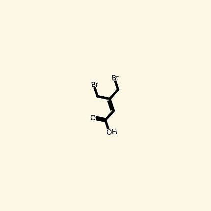 O=C(O)C=C(CBr)CBr